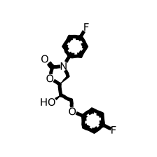 O=C1O[C@H]([C@H](O)COc2ccc(F)cc2)CN1c1ccc(F)cc1